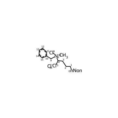 CCCCCCCCCCCCC(Cl)[N+](C)(Cl)Cc1ccccc1.[Cl-]